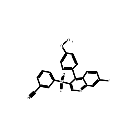 COc1ccc(-c2c(S(=O)(=O)c3cccc(C#N)c3)cnc3cc(F)ccc23)cc1